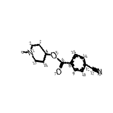 CN1CCC(OC(=O)c2ccc(C#N)cc2)CC1